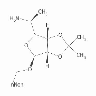 CCCCCCCCCCO[C@H]1O[C@H]([C@H](C)N)[C@@H]2OC(C)(C)O[C@H]12